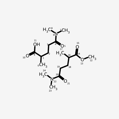 CC(CCC(=O)N(C)C)C(=O)O.COC(=O)C(C)CCC(=O)N(C)C